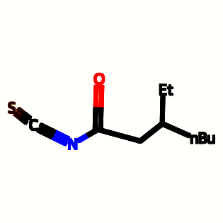 CCCCC(CC)CC(=O)N=C=S